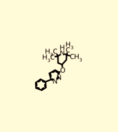 CC1(C)CC(Oc2ccc(-c3ccccc3)nn2)CC(C)(C)N1